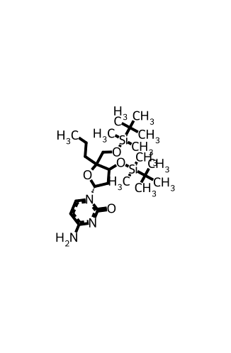 CCCC1(CO[Si](C)(C)C(C)(C)C)O[C@@H](n2ccc(N)nc2=O)CC1O[Si](C)(C)C(C)(C)C